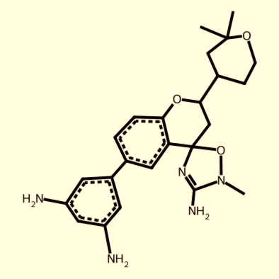 CN1OC2(CC(C3CCOC(C)(C)C3)Oc3ccc(-c4cc(N)cc(N)c4)cc32)N=C1N